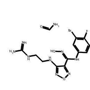 N=C(N)NCCNc1nonc1C(=NO)Nc1ccc(F)c(Br)c1.NC=O